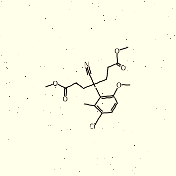 COC(=O)CCC(C#N)(CCC(=O)OC)c1c(OC)ccc(Cl)c1C